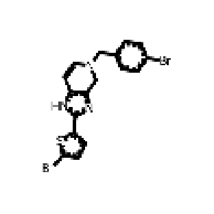 Brc1ccc(CN2C=Cc3[nH]c(-c4ccc(Br)s4)nc3C2)cc1